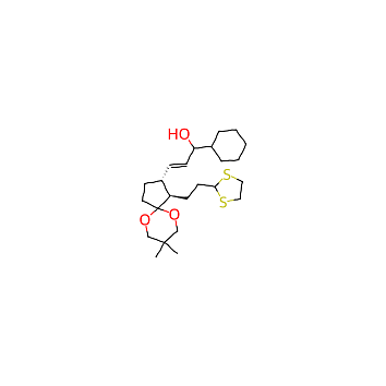 CC1(C)COC2(CC[C@H](C=CC(O)C3CCCCC3)[C@H]2CCC2SCCS2)OC1